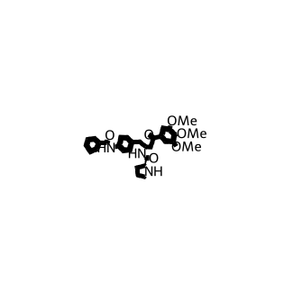 COc1cc(C(=O)CC(Cc2ccc(NC(=O)c3ccccc3)cc2)NC(=O)[C@@H]2CCCN2)cc(OC)c1OC